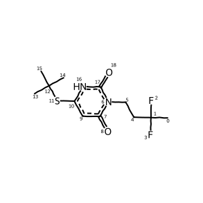 CC(F)(F)CCn1c(=O)cc(SC(C)(C)C)[nH]c1=O